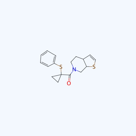 O=C(N1CCC2C=CSC2C1)C1(Sc2ccccc2)CC1